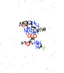 CCO[C@@H]1C[C@H](S(=O)(=O)Nc2nnc(C3CCCO3)n2-c2c(OC)ncnc2OC)CN(c2ncc(F)cn2)C1